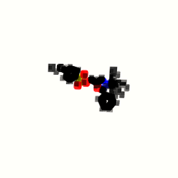 Cc1ccc(S(=O)(=O)OCC2CN(C(C)(C)C)[C@H](c3ccccc3)O2)cc1